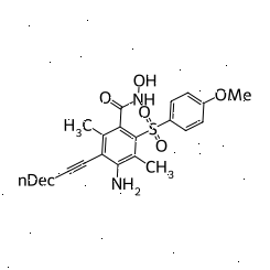 CCCCCCCCCCC#Cc1c(C)c(C(=O)NO)c(S(=O)(=O)c2ccc(OC)cc2)c(C)c1N